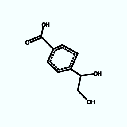 O=C(O)c1ccc(C(O)CO)cc1